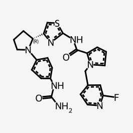 NC(=O)Nc1ccc(N2CCC[C@@H]2c2csc(NC(=O)c3cccn3Cc3ccnc(F)c3)n2)cc1